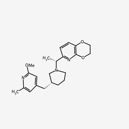 COc1cc(C[C@H]2CCCN([C@H](C)c3ccc4c(n3)OCCO4)C2)cc(C)n1